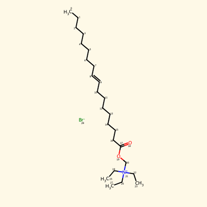 CCCCCCCCC=CCCCCCCCC(=O)OC[N+](CC)(CC)CC.[Br-]